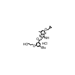 Cc1cc(OCC2CC2)nn2c(=N)n(CC(=O)c3cc(OCCCO)cc(C(C)(C)C)c3)nc12.Cl